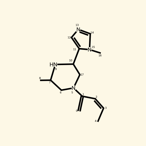 C=C(/C=C\C)N1CC(C)NC(c2cncn2C)C1